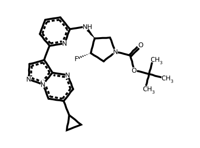 CC(C)(C)OC(=O)N1C[C@H](Nc2cccc(-c3cnn4cc(C5CC5)cnc34)n2)[C@@H](F)C1